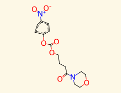 O=C(OCCCC(=O)N1CCOCC1)Oc1ccc([N+](=O)[O-])cc1